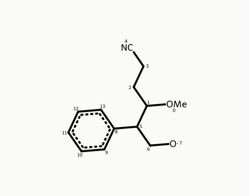 COC(CCC#N)C(C[O])c1ccccc1